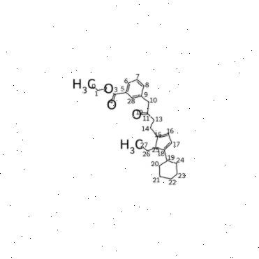 CCOC(=O)c1cccc(CC(=O)CCC2=CC=C(C3CCCCC3)C2CC)c1